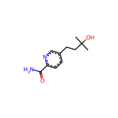 CC(C)(O)CCc1ccc(C(N)=O)nc1